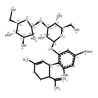 C=C(C)C1CCC(C)=C[C@H]1c1c(O)cc(CCCCC)cc1O[C@@H]1O[C@H](CO)[C@@H](O)[C@H](O[C@@H]2O[C@H](CO)[C@@H](O)[C@H](O)[C@H]2O)[C@H]1O